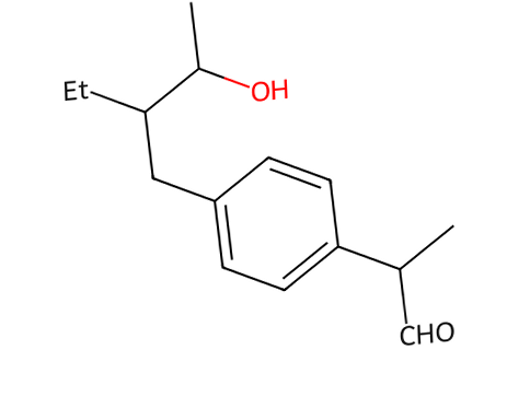 CCC(Cc1ccc(C(C)C=O)cc1)C(C)O